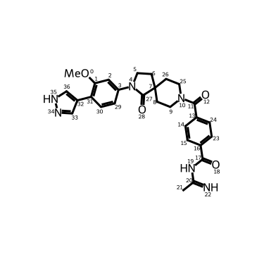 COc1cc(N2CCC3(CCN(C(=O)c4ccc(C(=O)NC(C)=N)cc4)CC3)C2=O)ccc1-c1cn[nH]c1